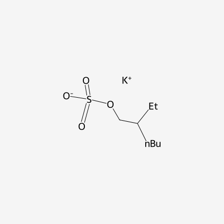 CCCCC(CC)COS(=O)(=O)[O-].[K+]